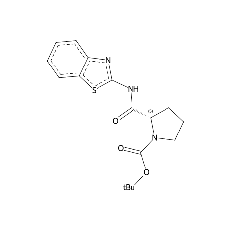 CC(C)(C)OC(=O)N1CCC[C@H]1C(=O)Nc1nc2ccccc2s1